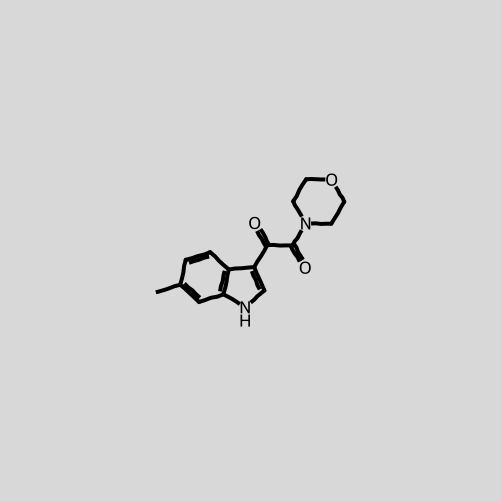 Cc1ccc2c(C(=O)C(=O)N3CCOCC3)c[nH]c2c1